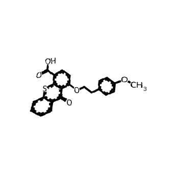 COc1ccc(CCOc2ccc(C(=O)O)c3sc4ccccc4c(=O)c23)cc1